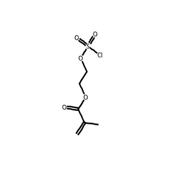 C=C(C)C(=O)OCCOS(=O)(=O)Cl